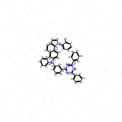 Cc1ccccc1-n1ccc2ccc3c(ccc4c3c3ccccc3n4-c3cccc(-c4nc(-c5ccccc5)nc(-c5ccccc5)n4)c3)c21